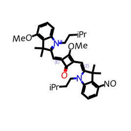 COC1=C(/C=C2\N(CCC(C)C)c3cccc(N=O)c3C2(C)C)C(=O)/C1=C/C1=[N+](CCC(C)C)c2cccc(OC)c2C1(C)C